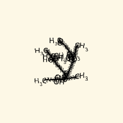 CCCCCCCCC(O)C(O)CCCC(=O)OC(CCCCCCCC)C(CCCCCCCCCCCC(=O)OC(CCCCCCCC)C(CCCCCCCCCCCC(=O)OC)OC(C)C)OC(=O)CCCCCCCCCCCC(OC(C)C)C(O)CCCCCCCC